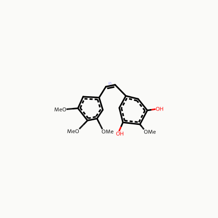 COc1cc(/C=C\c2cc(O)c(OC)c(O)c2)cc(OC)c1OC